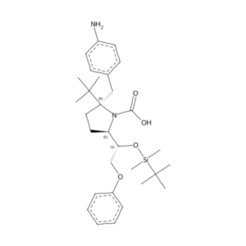 CC(C)(C)[C@]1(Cc2ccc(N)cc2)CC[C@H]([C@@H](COc2ccccc2)O[Si](C)(C)C(C)(C)C)N1C(=O)O